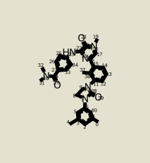 Cc1cc(C)cc(N2CCN(c3cccc(-c4cn(C)c(=O)c(Nc5ccc(C(=O)N(C)C)cc5)n4)c3C)C2=O)c1